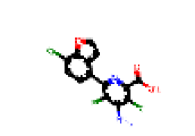 Nc1c(F)c(-c2ccc(Cl)c3occc23)nc(C(=O)O)c1Cl